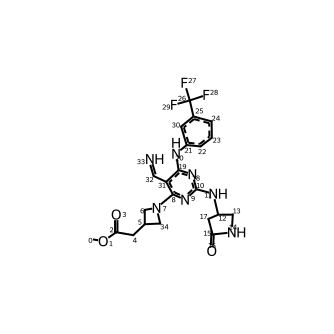 COC(=O)CC1CN(c2nc(NC3CNC(=O)C3)nc(Nc3cccc(C(F)(F)F)c3)c2C=N)C1